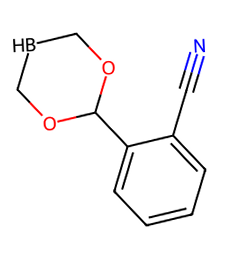 N#Cc1ccccc1C1OCBCO1